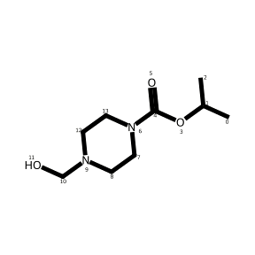 CC(C)OC(=O)N1CCN(CO)CC1